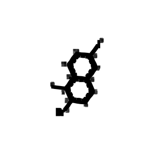 Cc1c(Br)ccc2cc(I)ccc12